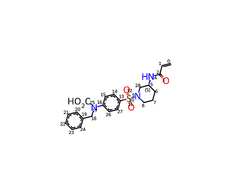 C=CC(=O)N[C@H]1CCCN(S(=O)(=O)c2ccc(N(Cc3ccccc3)C(=O)O)cc2)C1